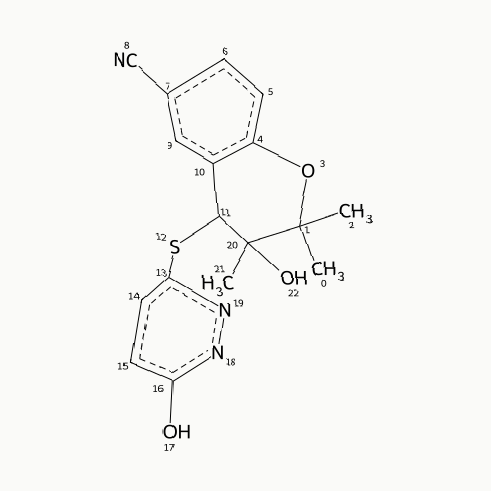 CC1(C)Oc2ccc(C#N)cc2C(Sc2ccc(O)nn2)C1(C)O